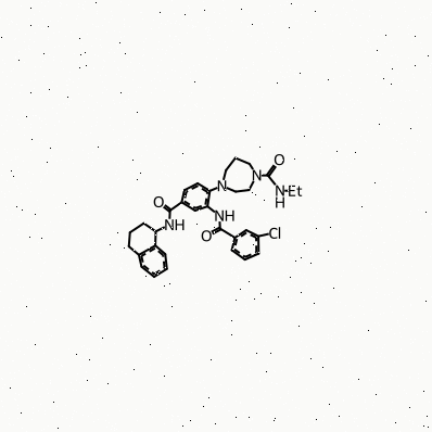 CCNC(=O)N1CCCN(c2ccc(C(=O)NC3CCCc4ccccc43)cc2NC(=O)c2cccc(Cl)c2)CC1